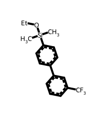 CCO[Si](C)(C)c1ccc(-c2cccc(C(F)(F)F)c2)cc1